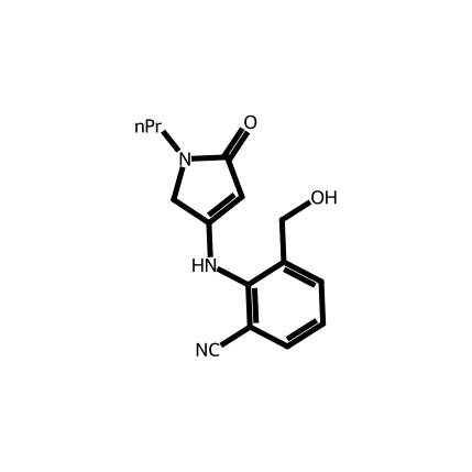 CCCN1CC(Nc2c(C#N)cccc2CO)=CC1=O